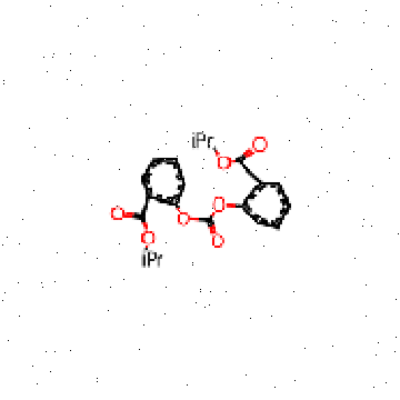 CC(C)OC(=O)c1ccccc1OC(=O)Oc1ccccc1C(=O)OC(C)C